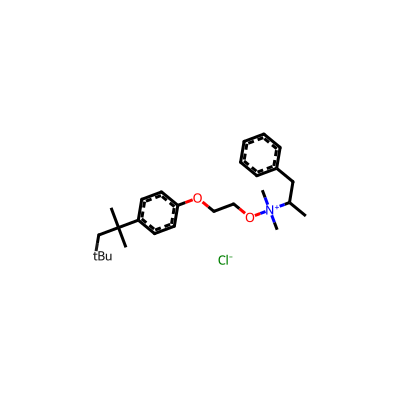 CC(Cc1ccccc1)[N+](C)(C)OCCOc1ccc(C(C)(C)CC(C)(C)C)cc1.[Cl-]